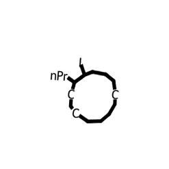 CCCC1CCCCCCCCCCCC1I